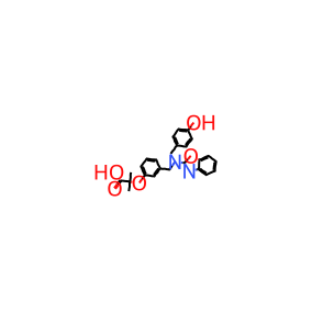 CC(C)(Oc1cccc(CN(Cc2ccc(O)cc2)c2nc3ccccc3o2)c1)C(=O)O